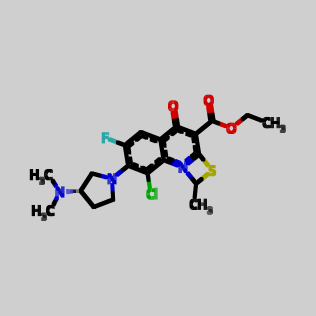 CCOC(=O)c1c2n(c3c(Cl)c(N4CC[C@H](N(C)C)C4)c(F)cc3c1=O)C(C)S2